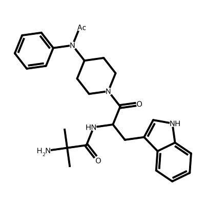 CC(=O)N(c1ccccc1)C1CCN(C(=O)C(Cc2c[nH]c3ccccc23)NC(=O)C(C)(C)N)CC1